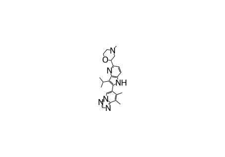 Cc1c(-c2[nH]c3ccc(C4CN(C)CCO4)nc3c2C(C)C)cn2ncnc2c1C